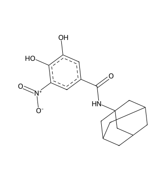 O=C(NC12CC3CC(CC(C3)C1)C2)c1cc(O)c(O)c([N+](=O)[O-])c1